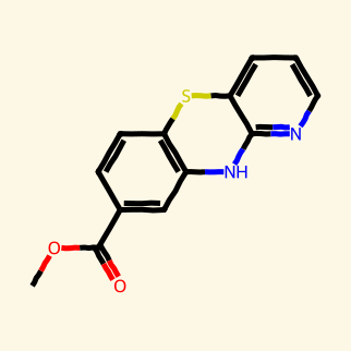 COC(=O)c1ccc2c(c1)Nc1ncccc1S2